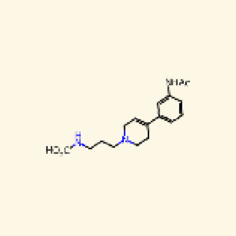 CC(=O)Nc1cccc(C2=CCN(CCCNC(=O)O)CC2)c1